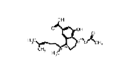 CC(=O)OC[C@@H]1CC[C@@H]([C@@H](C)CCC=C(C)C)c2cc(C(=O)O)cc(O)c21